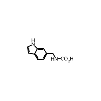 O=C(O)NCc1ccc2cc[nH]c2c1